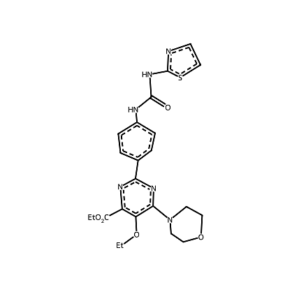 CCOC(=O)c1nc(-c2ccc(NC(=O)Nc3nccs3)cc2)nc(N2CCOCC2)c1OCC